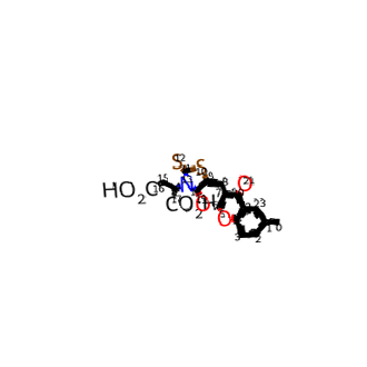 Cc1ccc2occ(C=C3SC(=S)N(C(CC(=O)O)C(=O)O)C3=O)c(=O)c2c1